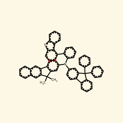 CC1(C)c2cc(N(c3ccc4c(c3)C(c3ccccc3)(c3ccccc3)c3ccccc3-4)c3ccccc3-c3cccc4sc5ccccc5c34)ccc2-c2cc3ccccc3cc21